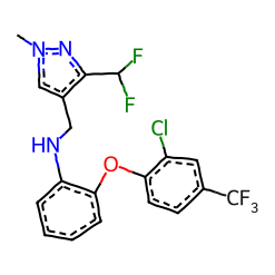 Cn1cc(CNc2ccccc2Oc2ccc(C(F)(F)F)cc2Cl)c(C(F)F)n1